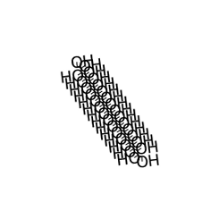 OCC(O)C(O)C(O)C(O)C(O)C(O)C(O)C(O)C(O)C(O)C(O)C(O)C(O)C(O)C(O)C(O)C(O)C(O)C(O)C(O)C(O)C(O)C(O)C(O)C(O)C(O)C(O)C(O)CO